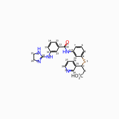 O=C(O)CC(Sc1cccc(NC(=O)c2cccc(NC3=NCCN3)c2)c1)c1cccnc1